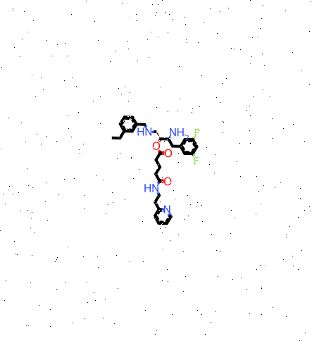 CCc1cccc(CNC[C@@H](OC(=O)CCCC(=O)NCCc2ccccn2)[C@@H](N)Cc2cc(F)cc(F)c2)c1